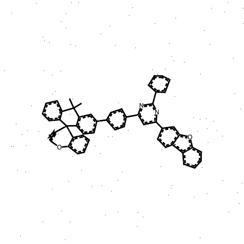 CC1(C)c2ccccc2C2(c3ccccc3Oc3ccccc32)c2ccc(-c3ccc(-c4cc(-c5ccc6c(c5)oc5ccccc56)nc(-c5ccccc5)n4)cc3)cc21